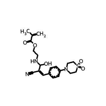 C=C(C)C(=O)OCCNC(O)C(C#N)=Cc1ccc(N2CCS(=O)(=O)CC2)cc1